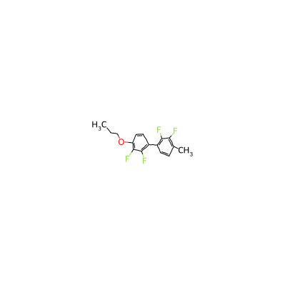 CCCOc1ccc(-c2ccc(C)c(F)c2F)c(F)c1F